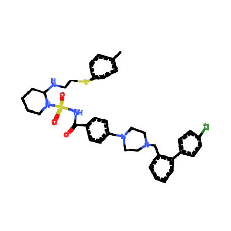 Cc1ccc(SCCNC2CCCCN2S(=O)(=O)NC(=O)c2ccc(N3CCN(Cc4ccccc4-c4ccc(Cl)cc4)CC3)cc2)cc1